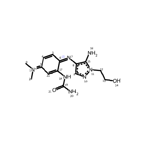 C[N+](C)=C1C=C/C(=N/c2cnn(CCO)c2N)C(NC(N)=O)=C1